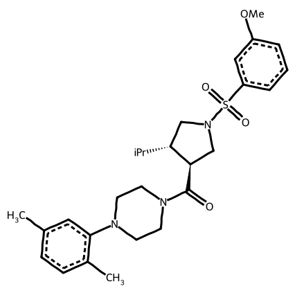 COc1cccc(S(=O)(=O)N2C[C@@H](C(=O)N3CCN(c4cc(C)ccc4C)CC3)[C@H](C(C)C)C2)c1